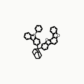 c1ccc(-n2c3ccccc3c3cc(C4(c5ccc6c(c5)oc5c6ccc6oc7ccccc7c65)C5CC6CC(C5)CC4C6)ccc32)cc1